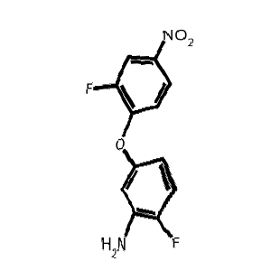 Nc1cc(Oc2ccc([N+](=O)[O-])cc2F)ccc1F